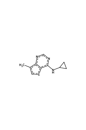 Cc1csc2c(NC3CC3)ncnc12